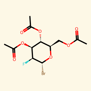 CC(=O)OC[C@H]1O[C@H](Br)[C@@H](F)[C@@H](OC(C)=O)[C@@H]1OC(C)=O